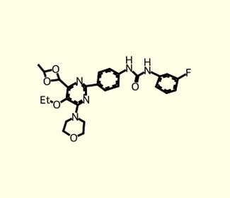 CCOc1c(C2OC(C)O2)nc(-c2ccc(NC(=O)Nc3cccc(F)c3)cc2)nc1N1CCOCC1